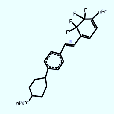 CCCCCC1CCC(c2ccc(/C=C/C3=CC=C(CCC)C(F)(F)C3(F)F)cc2)CC1